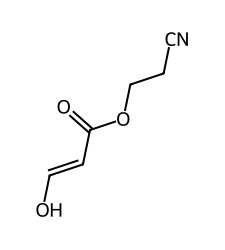 N#CCCOC(=O)C=CO